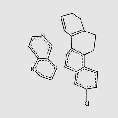 Clc1ccc2c3c(ccc2c1)C1=C(CCC=C1)CC3.c1cnc2ccncc2c1